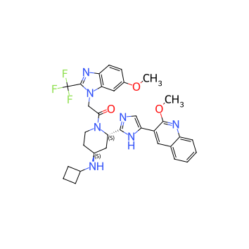 COc1ccc2nc(C(F)(F)F)n(CC(=O)N3CC[C@H](NC4CCC4)C[C@H]3c3ncc(-c4cc5ccccc5nc4OC)[nH]3)c2c1